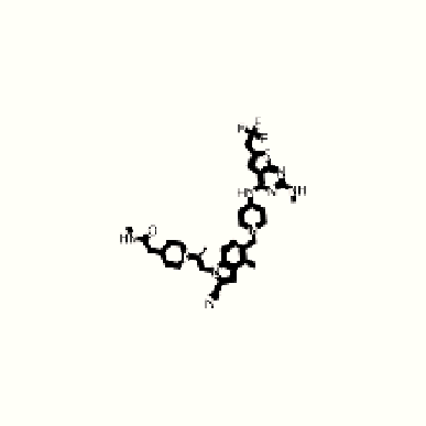 CNC(=O)CC1CCN([C@@H](C)Cn2c(C#N)cc3c(C)c(CN4CCC(Nc5nc(NC)nc6sc(CC(F)(F)F)cc56)CC4)ccc32)CC1